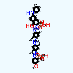 COc1ccc(N=Nc2cc(C)c(N=Nc3cc(C)c(N=Nc4c(S(=O)(=O)O)cc5cc(Nc6ccccc6)ccc5c4O)cc3C)cc2C)c(S(=O)(=O)O)c1